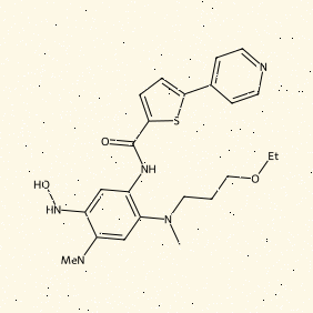 CCOCCCN(C)c1cc(NC)c(NO)cc1NC(=O)c1ccc(-c2ccncc2)s1